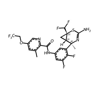 Cc1cc(OCC(F)(F)F)cnc1C(=O)Nc1cc(F)c(F)c([C@]2(C)N=C(N)S[C@@]3(C(F)F)C[C@@H]23)c1